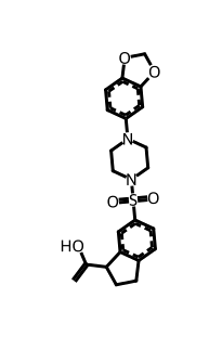 C=C(O)C1CCc2ccc(S(=O)(=O)N3CCN(c4ccc5c(c4)OCO5)CC3)cc21